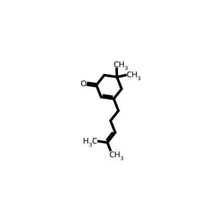 CC(C)=CCCC1=CC(=O)CC(C)(C)C1